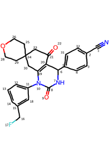 N#Cc1ccc(C2NC(=O)N(c3cccc(CF)c3)C3=C2C(=O)CC2(CCOCC2)C3)cc1